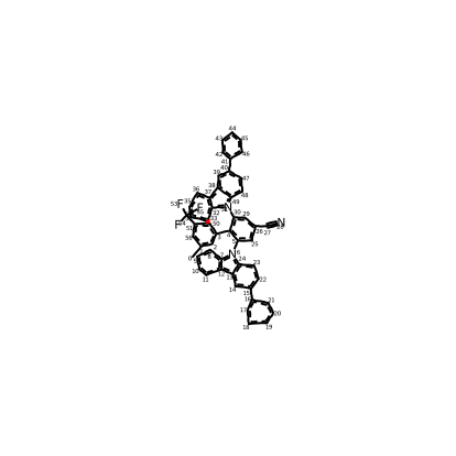 Cc1cc(-c2c(-n3c4ccccc4c4cc(-c5ccccc5)ccc43)cc(C#N)cc2-n2c3ccccc3c3cc(-c4ccccc4)ccc32)cc(C(F)(F)F)c1